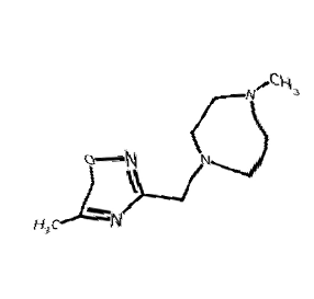 Cc1nc(CN2CCN(C)CC2)no1